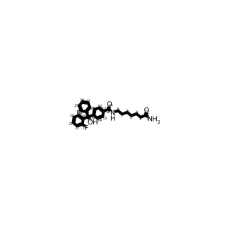 NC(=O)CCCCCCNC(=O)c1ccc(C(O)(c2ccccc2F)c2ccccc2F)cc1